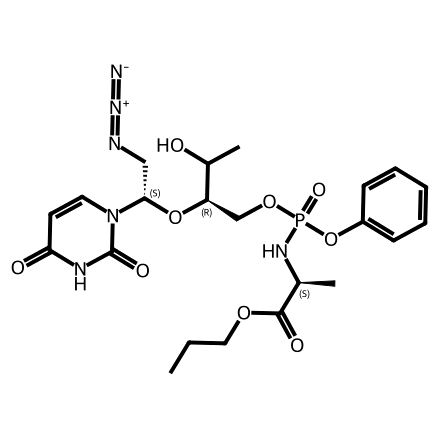 CCCOC(=O)[C@H](C)NP(=O)(OC[C@@H](O[C@@H](CN=[N+]=[N-])n1ccc(=O)[nH]c1=O)C(C)O)Oc1ccccc1